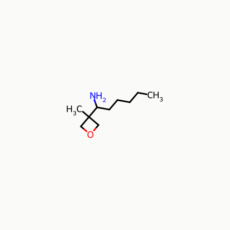 CCCCCC(N)C1(C)COC1